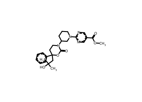 COC(=O)c1cnc(N2CCCC(N3CCC(CC(C)(C)O)(c4ccccc4)OC3=O)C2)nc1